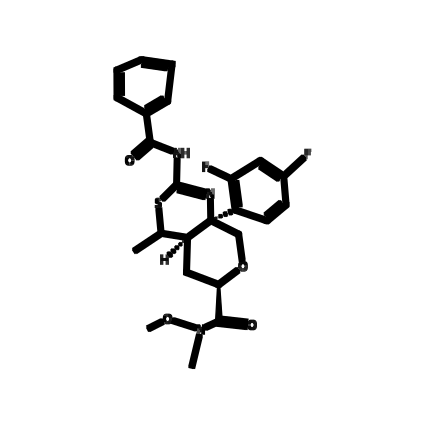 CON(C)C(=O)[C@H]1C[C@H]2C(C)SC(NC(=O)c3ccccc3)=N[C@@]2(c2ccc(F)cc2F)CO1